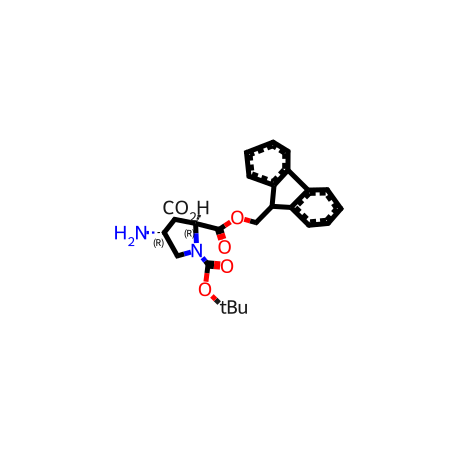 CC(C)(C)OC(=O)N1C[C@H](N)C[C@@]1(C(=O)O)C(=O)OCC1c2ccccc2-c2ccccc21